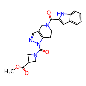 COC(=O)C1CN(C(=O)n2ncc3c2CCN(C(=O)c2cc4ccccc4[nH]2)C3)C1